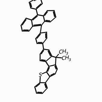 CC1(C)c2cc(-c3ccc(-c4c5ccccc5c(-c5ccccc5)c5ccccc45)cc3)ccc2-c2c1ccc1c2sc2ccccc21